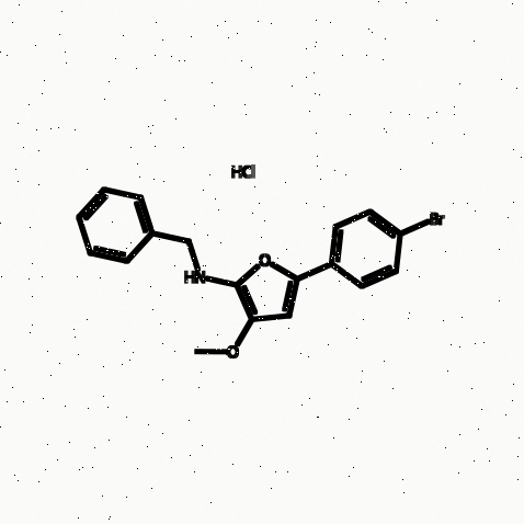 COc1cc(-c2ccc(Br)cc2)oc1NCc1ccccc1.Cl